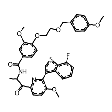 COc1ccc(COCCOc2ccc(C(=O)NC(C)C(=O)c3ccc(OC)c(-c4csc5c(F)cccc45)n3)cc2OC)cc1